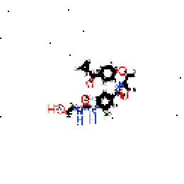 CC(Oc1ccc(C(=O)C2CC2)cc1)c1coc(-c2ccc(NC(=O)NCCO)c(F)c2)n1